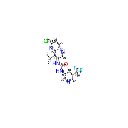 CC(C)c1c(NC(=O)Nc2cncc(C(F)(F)F)c2)cnc2ccc(Cl)nc12